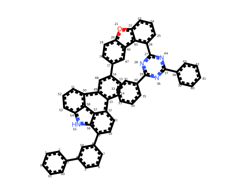 c1ccc(-c2cccc(-c3ccc4c5ccc(-c6ccc7oc8cccc(-c9nc(-c%10ccccc%10)nc(-c%10ccccc%10)n9)c8c7c6)cc5c5cccc6[nH]c3c4c65)c2)cc1